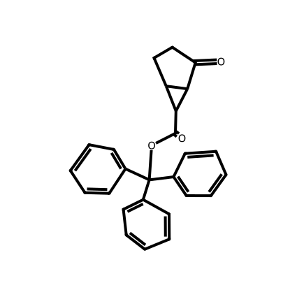 O=C1CCC2C1C2C(=O)OC(c1ccccc1)(c1ccccc1)c1ccccc1